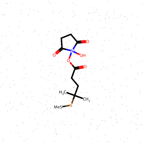 CSSC(C)(C)CCC(=O)O[N+]1(O)C(=O)CCC1=O